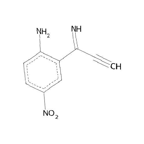 C#CC(=N)c1cc([N+](=O)[O-])ccc1N